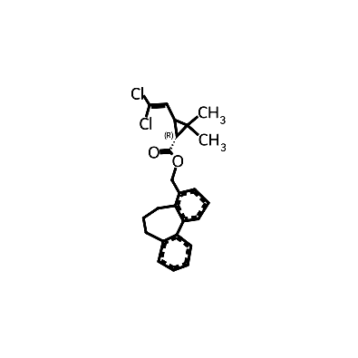 CC1(C)C(C=C(Cl)Cl)[C@H]1C(=O)OCc1cccc2c1CCCc1ccccc1-2